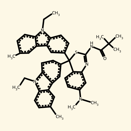 CCn1c2ccc(C)cc2c2cc(C3(c4ccc5c(c4)c4cc(C)ccc4n5CC)SC(NC(=O)C(C)(C)C)=Nc4cc(N(C)C)ccc43)ccc21